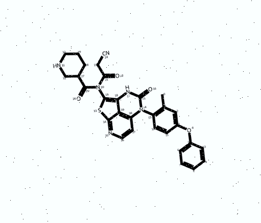 Cc1cc(Oc2ccccc2)ccc1N1C(=O)Nc2c(N(C(=O)CC#N)C(=O)C3CCCNC3)sc3nccc1c23